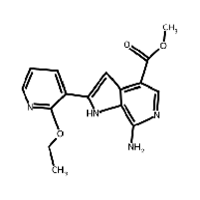 CCOc1ncccc1-c1cc2c(C(=O)OC)cnc(N)c2[nH]1